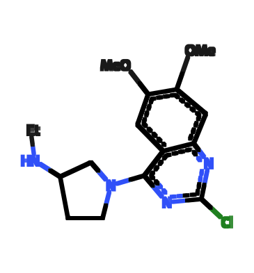 CCNC1CCN(c2nc(Cl)nc3cc(OC)c(OC)cc23)C1